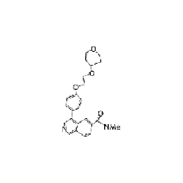 CNC(=O)c1ccc2cncc(-c3ccc(OCCOC4CCOCC4)cc3)c2c1